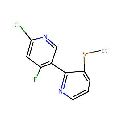 CCSc1cccnc1-c1cnc(Cl)cc1F